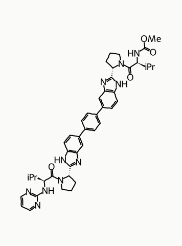 COC(=O)N[C@H](C(=O)N1CCC[C@H]1c1nc2cc(-c3ccc(-c4ccc5[nH]c([C@@H]6CCCN6C(=O)[C@@H](Nc6ncccn6)C(C)C)nc5c4)cc3)ccc2[nH]1)C(C)C